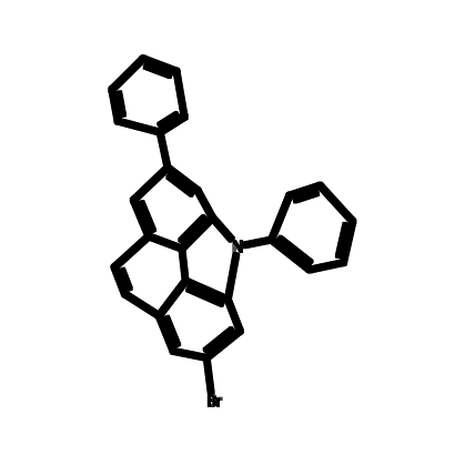 Brc1cc2ccc3cc(-c4ccccc4)cc4c3c2c(c1)n4-c1ccccc1